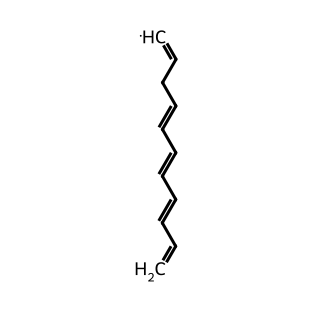 [CH]=CC/C=C/C=C/C=C/C=C